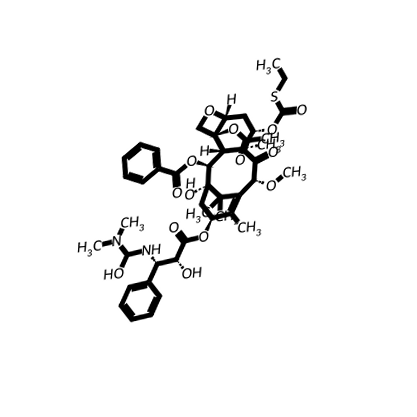 CCSC(=O)O[C@H]1C[C@H]2OC[C@@]2(OC(C)=O)[C@H]2[C@H](OC(=O)c3ccccc3)[C@]3(O)C[C@H](OC(=O)[C@H](O)[C@@H](NC(O)N(C)C)c4ccccc4)C(C)=C([C@@H](OC)C(=O)[C@]12C)C3(C)C